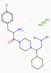 CCN(CC)CC(C1CCCCC1)N1CCN(C(=O)C(N)Cc2ccc(Cl)cc2)CC1.Cl.Cl.Cl